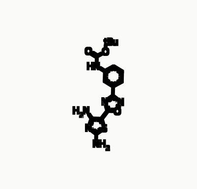 CC(C)(C)OC(=O)Nc1cccc(-c2noc(-c3sc(N)nc3N)n2)c1